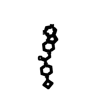 O=C(CN1CCn2c(cc3cncnc32)C1)N1CCN(C2CCC2)CC1